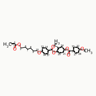 C=CC(=O)OCCCCCCOc1ccc(C(=O)Oc2ccc(OC(=O)c3ccc(OC)cc3)cc2C)cc1